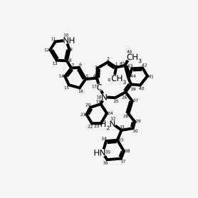 CC1=C\C=C(\C2=CC(C3=CNCC=C3)=CCC2)CN(C2C=CCCC2)CC(/C=C/C=C\C(N)C2=CNCC=C2)=C2/CCC=C/C2=C\1C